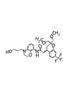 COCC1(COC)CC(=CC(=O)Nc2cccc3c2OCCN3CCCO)c2ccc(C(F)(F)F)cc2O1